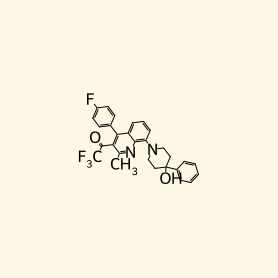 Cc1nc2c(N3CCC(O)(c4ccccc4)CC3)cccc2c(-c2ccc(F)cc2)c1C(=O)C(F)(F)F